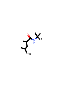 CCC(C)(C)NC(=O)C(C)CC(C)C(C)(C)C